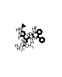 CC(C)(C)n1cc(C(=O)N[C@H]2N=C(c3ccccc3)c3cccc(F)c3NC2=O)c(-c2ccc(NC3CC3)nc2F)n1